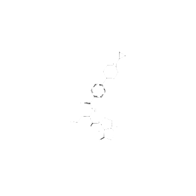 CC[C@H](C)C(NC(=O)c1ccc(C2CCN(C3CC3)CC2)cc1)C(=O)N1CC[C@H]2OCC(=O)[C@H]21